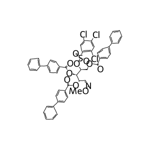 CO/N=C\[C@H](OC(=O)c1ccc(-c2ccccc2)cc1)[C@@H](OC(=O)c1ccc(-c2ccccc2)cc1)[C@H](COC(=O)c1ccc(-c2ccccc2)cc1)OS(=O)(=O)c1cc(Cl)c(Cl)cc1Cl